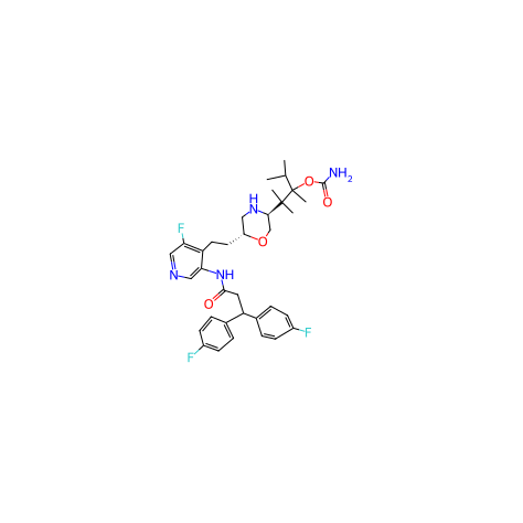 CC(C)C(C)(OC(N)=O)C(C)(C)[C@H]1CO[C@H](CCc2c(F)cncc2NC(=O)CC(c2ccc(F)cc2)c2ccc(F)cc2)CN1